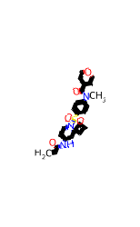 C=CC(=O)NC1CCN(S(=O)(=O)c2ccc(N(C)C(=O)C3CCOCC3)cc2)C2(CCC2)C1